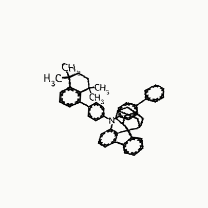 CC1(C)CCC(C)(C)c2c(-c3ccc(N(c4ccc(-c5ccccc5)cc4)c4cccc5c4C4(c6ccccc6-5)C5CC6CC(C5)CC4C6)cc3)cccc21